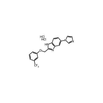 Cl.Cl.FC(F)(F)c1cccc(OCc2nc3cc(-n4ccnc4)ccc3[nH]2)c1